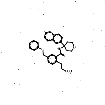 O=C(O)CCc1ccc(COc2ccccc2)cc1C(=O)NC1(c2ccc3ccccc3c2)CCOCC1